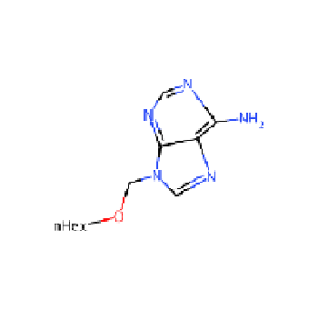 CCCCCCOCn1cnc2c(N)ncnc21